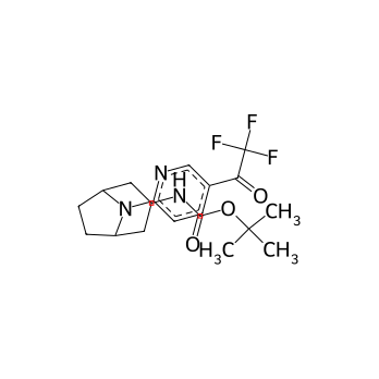 CC(C)(C)OC(=O)NC1CC2CCC(C1)N2c1ccc(C(=O)C(F)(F)F)cn1